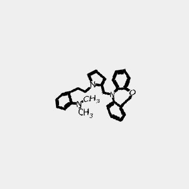 CN(C)c1ccccc1CCN1CCCC1CN1c2ccccc2COc2ccccc21